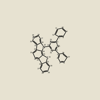 c1ccc(-c2nc(-c3ccccc3)nc(-n3c4ccncc4c4ccc5c6ccccc6sc5c43)n2)cc1